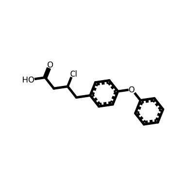 O=C(O)CC(Cl)Cc1ccc(Oc2ccccc2)cc1